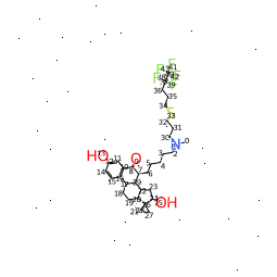 CN(CCCCC[C@@H]1C(=O)c2cc(O)ccc2C2CC[C@@]3(C)C(C[C@@H](O)C34CC4)C21)CCCSCCCC(F)(F)C(F)(F)F